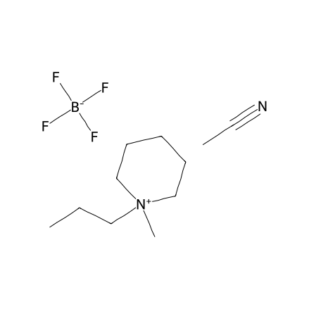 CC#N.CCC[N+]1(C)CCCCC1.F[B-](F)(F)F